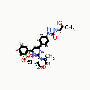 C[C@@H](O)CNC(=O)Nc1ccc(-c2cc(-c3cc(F)ccc3S(C)(=O)=O)nc(N3CCOC[C@@H]3C)n2)cc1